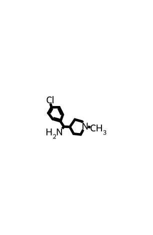 CN1CCC(C(N)c2ccc(Cl)cc2)CC1